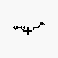 BBCC(C)(C)OCCC(C)(C)C